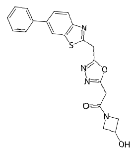 O=C(Cc1nnc(Cc2nc3ccc(-c4ccccc4)cc3s2)o1)N1CC(O)C1